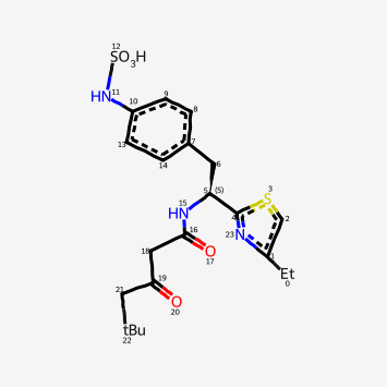 CCc1csc([C@H](Cc2ccc(NS(=O)(=O)O)cc2)NC(=O)CC(=O)CC(C)(C)C)n1